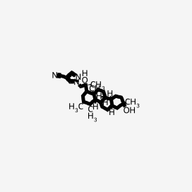 C[C@H]1[C@H]2[C@@H]3CC[C@@H]4C[C@](C)(O)CC[C@@H]4[C@H]3CC[C@]2(C)C([C@](C)(O)Cn2cc(C#N)cn2)C[C@@H]1C